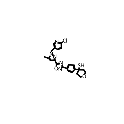 Cc1cc(-c2nc(-c3ccc(C4(S)CCOCC4)cc3)no2)nn1Cc1ccc(Cl)nc1